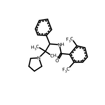 CC(C)(C(NC(=O)c1c(C(F)(F)F)cccc1C(F)(F)F)c1ccccc1)N1CCCC1